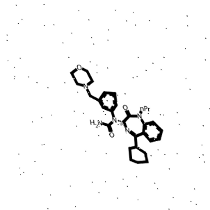 CCCN1C(=O)[C@@H](N(C(N)=O)c2cccc(CN3CCOCC3)c2)N=C(C2CCCCC2)c2ccccc21